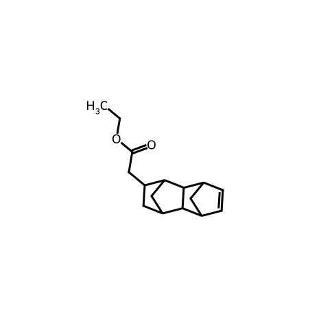 CCOC(=O)CC1CC2CC1C1C3C=CC(C3)C21